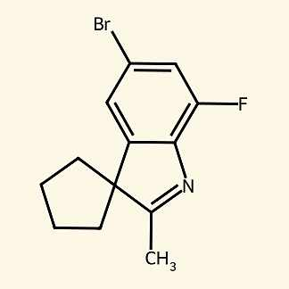 CC1=Nc2c(F)cc(Br)cc2C12CCCC2